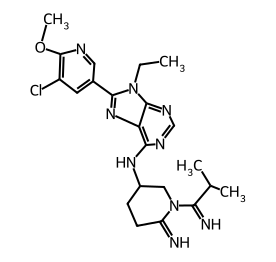 CCn1c(-c2cnc(OC)c(Cl)c2)nc2c(NC3CCC(=N)N(C(=N)C(C)C)C3)ncnc21